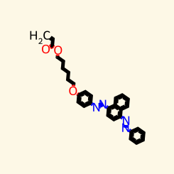 C=CC(=O)OCCCCCCOc1ccc(N=Nc2ccc(N=Nc3ccccc3)c3ccccc23)cc1